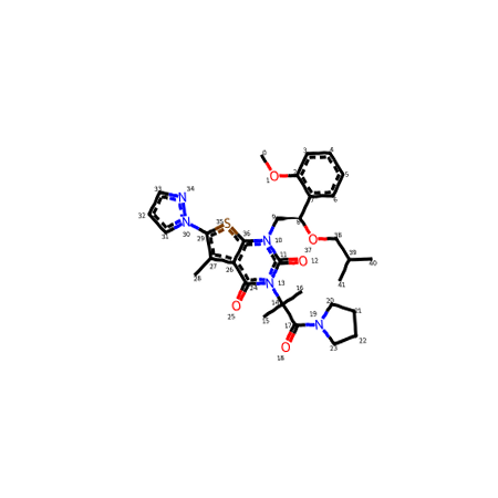 COc1ccccc1[C@H](Cn1c(=O)n(C(C)(C)C(=O)N2CCCC2)c(=O)c2c(C)c(-n3cccn3)sc21)OCC(C)C